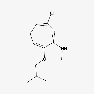 CNC1=CC(Cl)=CCC=C1OCC(C)C